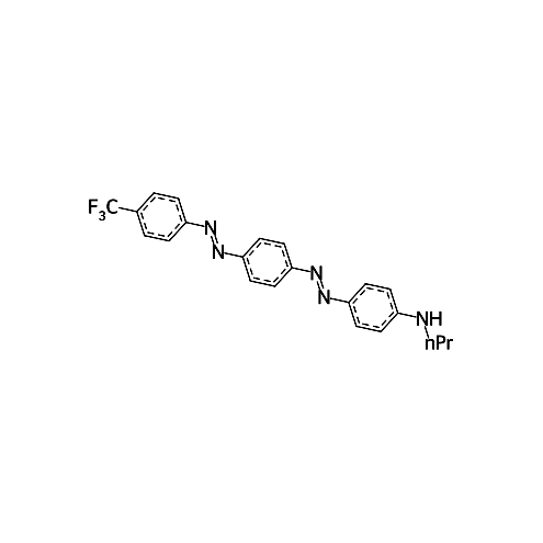 CCCNc1ccc(N=Nc2ccc(N=Nc3ccc(C(F)(F)F)cc3)cc2)cc1